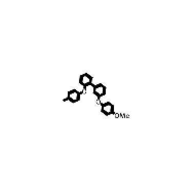 COc1ccc(Oc2cccc(-c3[c]cccc3Oc3ccc(C)cc3)c2)cc1